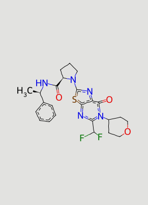 C[C@@H](NC(=O)[C@H]1CCCN1c1nc2c(=O)n(C3CCOCC3)c(C(F)F)nc2s1)c1ccccc1